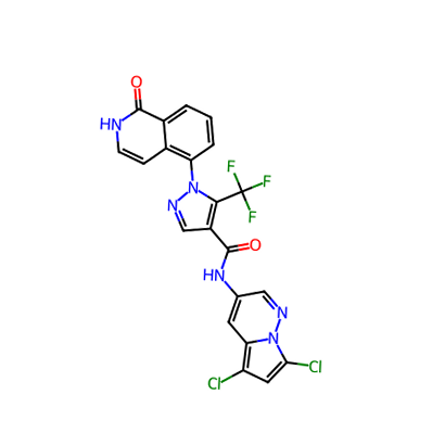 O=C(Nc1cnn2c(Cl)cc(Cl)c2c1)c1cnn(-c2cccc3c(=O)[nH]ccc23)c1C(F)(F)F